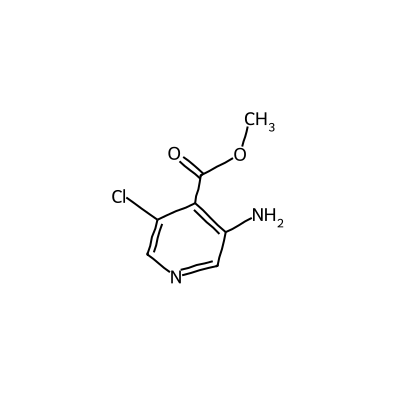 COC(=O)c1c(N)cncc1Cl